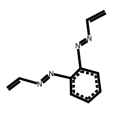 C=CN=Nc1ccccc1N=NC=C